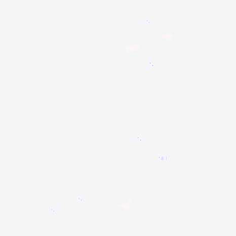 CC(=N)N1CCC(Oc2ccc(NC(=N)c3cccc4cc(CNC(=O)C(N)=O)ccc34)cc2)CC1.Cl.Cl